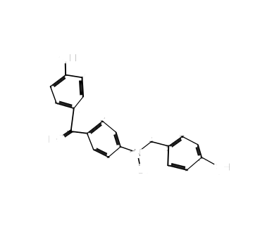 C=C(c1ccc(C)cc1)c1ccc(N(CC)Cc2ccc(C)cc2)cc1